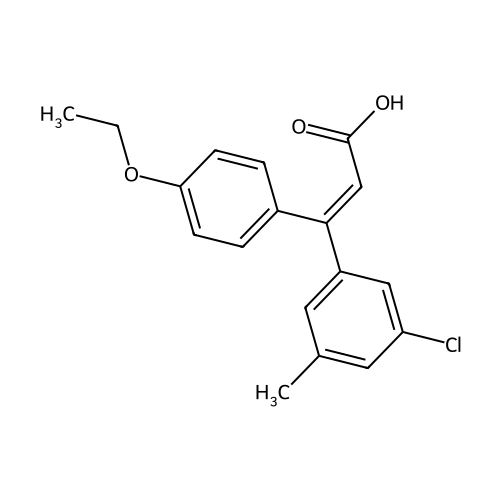 CCOc1ccc(/C(=C\C(=O)O)c2cc(C)cc(Cl)c2)cc1